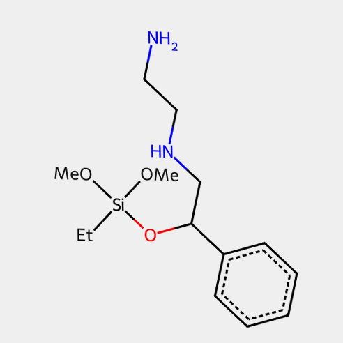 CC[Si](OC)(OC)OC(CNCCN)c1ccccc1